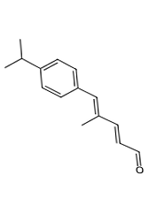 CC(/C=C/C=O)=C\c1ccc(C(C)C)cc1